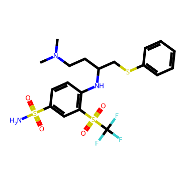 CN(C)CCC(CSc1ccccc1)Nc1ccc(S(N)(=O)=O)cc1S(=O)(=O)C(F)(F)F